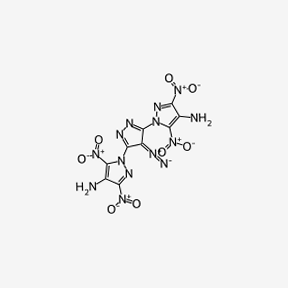 [N-]=[N+]=C1C(n2nc([N+](=O)[O-])c(N)c2[N+](=O)[O-])=NN=C1n1nc([N+](=O)[O-])c(N)c1[N+](=O)[O-]